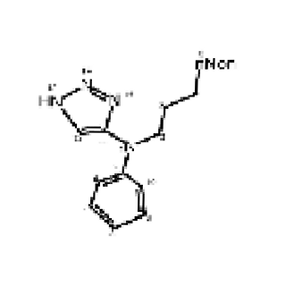 CCCCCCCCCCCCN(c1ccccc1)c1c[nH]nn1